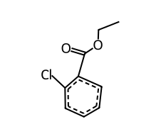 CCOC(=O)c1ccccc1Cl